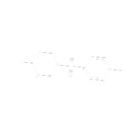 O=C(O)C1CCN(S(=O)(=O)c2ccc(Cl)cc2)CC1